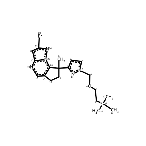 CC1(c2ccn(COCC[Si](C)(C)C)n2)CCc2cnc3cc(Br)nn3c21